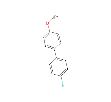 CC(C)Oc1ccc(-c2ccc(F)cc2)cc1